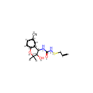 C=CCSNC(=O)NC1c2cc(C#N)ccc2OC(C)(C)C1O